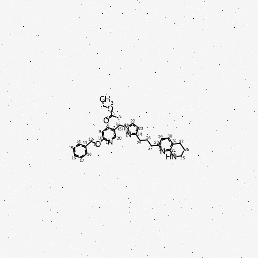 CCOC(=O)C[C@@H](c1ccc(OCc2ccccc2)nc1)n1ccc(CCCc2ccc3c(n2)NCCC3)n1